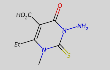 CCc1c(C(=O)O)c(=O)n(N)c(=S)n1C